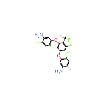 Nc1cc(Oc2cc(F)c(C(F)(F)F)c(Oc3cc(N)c(F)cc3F)c2)c(F)cc1F